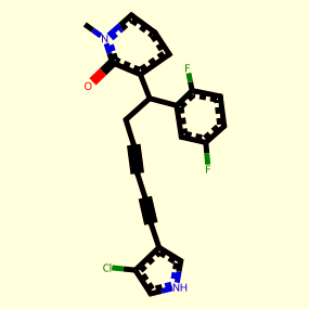 Cn1cccc(C(CC#CC#Cc2c[nH]cc2Cl)c2cc(F)ccc2F)c1=O